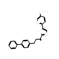 O=C(O)c1ccc(-c2cnc(C(=O)CCc3ccc(-c4ccccc4)cc3)o2)nc1